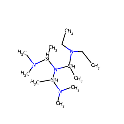 CCN(CC)[SiH](C)N([SiH](C)N(C)C)[SiH](C)N(C)C